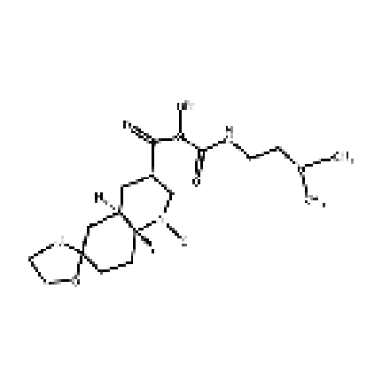 CCCN(C(=O)NCCN(C)C)C(=O)[C@@H]1C[C@@H]2CC3(CC[C@H]2N(C)C1)OCCO3